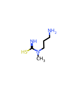 CN(CCCN)C(=N)S